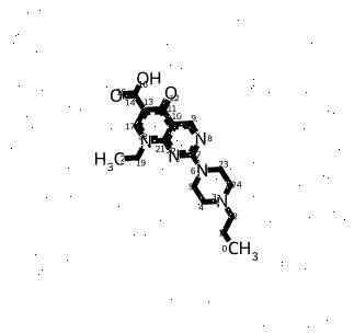 CCCN1CCN(c2ncc3c(=O)c(C(=O)O)cn(CC)c3n2)CC1